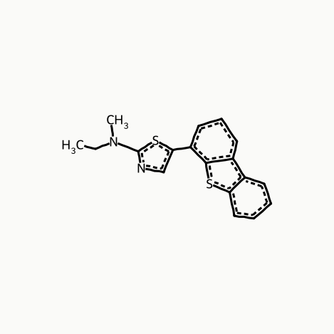 CCN(C)c1ncc(-c2cccc3c2sc2ccccc23)s1